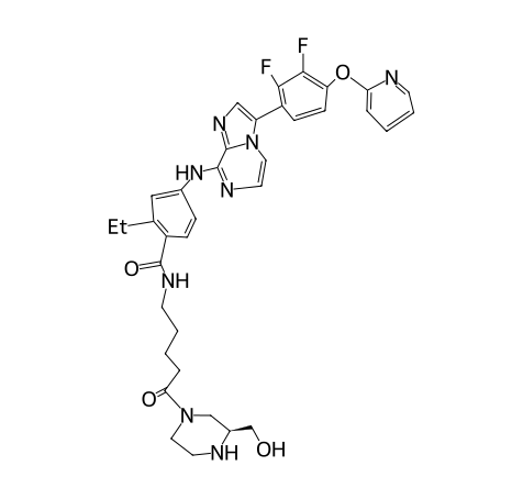 CCc1cc(Nc2nccn3c(-c4ccc(Oc5ccccn5)c(F)c4F)cnc23)ccc1C(=O)NCCCCC(=O)N1CCN[C@H](CO)C1